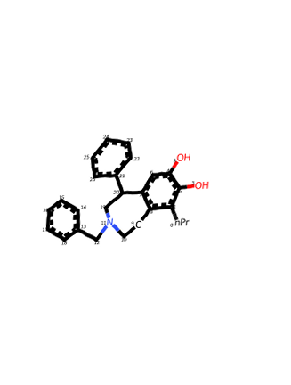 CCCc1c(O)c(O)cc2c1CCN(Cc1ccccc1)CC2c1ccccc1